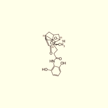 C[C@]12C[C@@]34C=CC(=O)[C@@](C)(CCC(=O)Nc5c(O)cccc5O)C3[C@H](CC1C4)O2